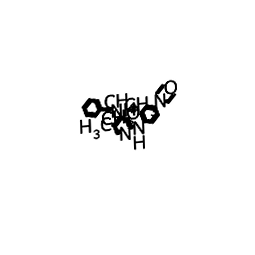 COc1cc(N2CCOCC2)ccc1Nc1cc(NC(C)(C)c2ccccc2)c(C)cn1